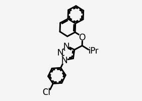 CC(C)C(OC1=c2ccccc2=CCC1)c1cn(-c2ccc(Cl)cc2)nn1